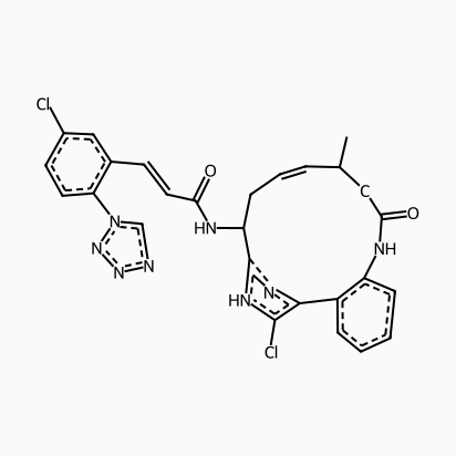 CC1C=CCC(NC(=O)C=Cc2cc(Cl)ccc2-n2cnnn2)c2nc(c(Cl)[nH]2)-c2ccccc2NC(=O)C1